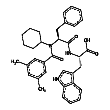 Cc1cc(C)cc(C(=O)N(C2CCCCC2)[C@@H](Cc2ccccc2)C(=O)N[C@@H](Cc2c[nH]c3ccccc23)C(=O)O)c1